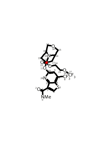 CNC(=O)c1csc2c(C(F)(F)F)cc(OC3CC4COCC(C3)N4C(=O)OCCOC(F)(F)F)nc12